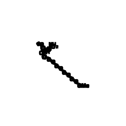 COCCOCCOCCOCCOCCOCCOCCOCCOCc1cccc(C(=O)Nc2ccc(OC3CCC3)cc2-c2cc(C(N)=O)ccn2)c1